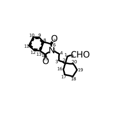 O=CCC1(CCN2C(=O)c3ccccc3C2=O)CCCCC1